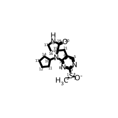 C[S+]([O-])c1ncc2c(n1)N(C1CCCC1)[C@]1(CCNC1=O)C2